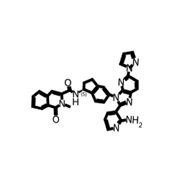 Cn1c(C(=O)N[C@H]2CCc3cc(-n4c(-c5cccnc5N)nc5ccc(-n6cccn6)nc54)ccc32)cc2ccccc2c1=O